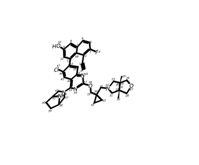 C#Cc1c(F)ccc2cc(O)cc(-c3cc4nc(OCC5(CN6C[C@]7(C)COC[C@]7(C)C6)CC5)nc(N5CC6CCC(C5)N6)c4cc3Cl)c12